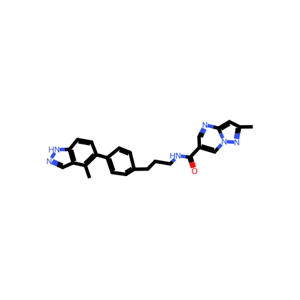 Cc1cc2ncc(C(=O)NCCCc3ccc(-c4ccc5[nH]ncc5c4C)cc3)cn2n1